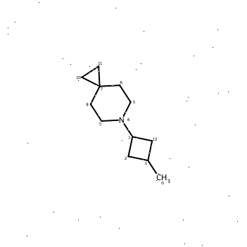 CC1CC(N2CCC3(CC2)CC3)C1